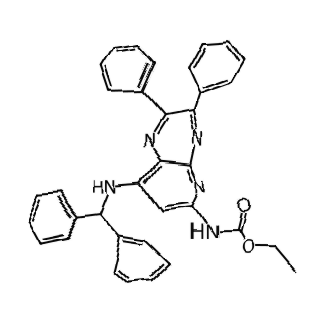 CCOC(=O)Nc1cc(NC(c2ccccc2)c2ccccc2)c2nc(-c3ccccc3)c(-c3ccccc3)nc2n1